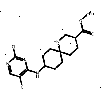 CC(C)(C)OC(=O)C1CCC2(CCC(Nc3nc(Cl)ncc3Cl)CC2)NC1